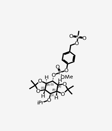 COP(=O)(Oc1ccc(COS(C)(=O)=O)cc1)O[C@@H]1[C@@H]2OC(C)(C)O[C@@H]2[C@@H](OC(C)C)[C@@H]2OC(C)(C)O[C@H]21